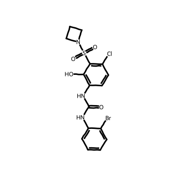 O=C(Nc1ccccc1Br)Nc1ccc(Cl)c(S(=O)(=O)N2CCC2)c1O